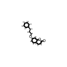 O=c1ccc2ccc(OCCCc3ccccc3)cc2o1